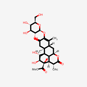 COC(=O)[C@]12OC[C@]34[C@H]([C@@H](O)[C@@H]1O)[C@@]1(C)CC(=O)C(O[C@@H]5O[C@H](CO)[C@@H](O)[C@H](O)[C@H]5O)=C(C)[C@@H]1C[C@H]3OC(=O)[C@H](OC(C)=O)[C@@H]24